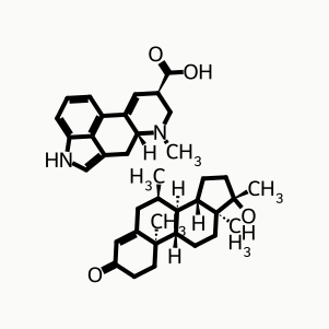 CN1C[C@H](C(=O)O)C=C2c3cccc4[nH]cc(c34)C[C@H]21.C[C@@H]1CC2=CC(=O)CC[C@]2(C)[C@H]2CC[C@@]3(C)[C@@H](CC[C@]3(C)O)[C@H]12